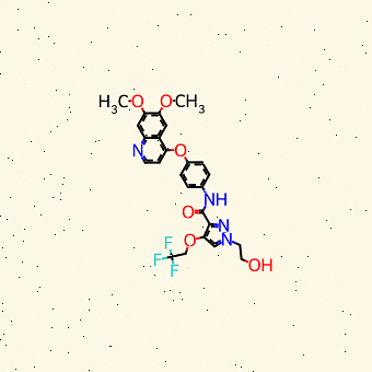 COc1cc2nccc(Oc3ccc(NC(=O)c4nn(CCO)cc4OCC(F)(F)F)cc3)c2cc1OC